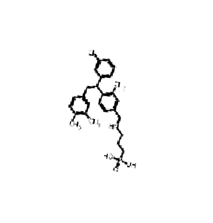 Cc1ccc(CC(c2cccc(Cl)c2)c2ccc(CNCCCP(=O)(O)O)cc2C)cc1C